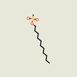 CCCCCCCCCCCOS(C)(=O)=O